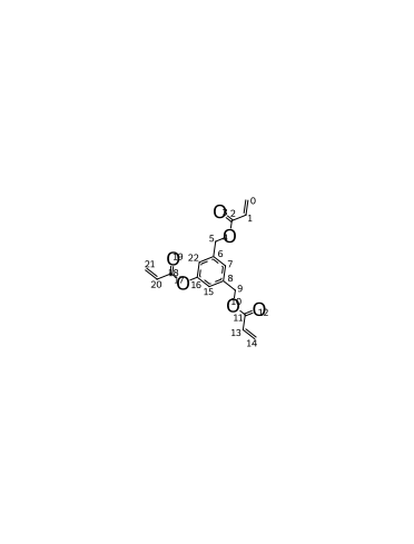 C=CC(=O)OCc1cc(COC(=O)C=C)cc(OC(=O)C=C)c1